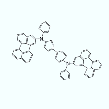 c1ccc(N(c2ccc(-c3ccc(N(c4ccccc4)c4cc5cccc6c7cccc8cccc(c(c4)c56)c87)cc3)cc2)c2cc3cccc4c5cccc6cccc(c(c2)c34)c65)cc1